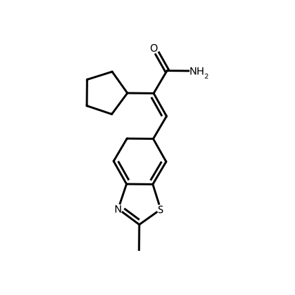 Cc1nc2c(s1)=CC(/C=C(/C(N)=O)C1CCCC1)CC=2